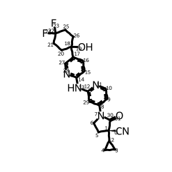 N#C[C@@]1(C2CC2)CCN(c2ccnc(Nc3ccc(C4(O)CCC(F)(F)CC4)cn3)c2)C1=O